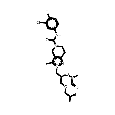 Cc1c2c(nn1CC(COCC(F)F)ON(C)C=O)CCN(C(=O)Nc1ccc(F)c(Cl)c1)C2